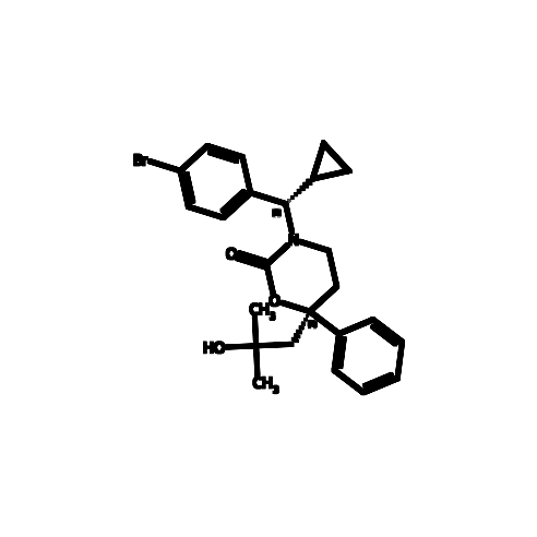 CC(C)(O)C[C@@]1(c2ccccc2)CCN([C@H](c2ccc(Br)cc2)C2CC2)C(=O)O1